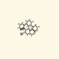 Oc1c(Br)cc2ccccc2c1-c1c(-c2ccccc2)cccc1-c1ccccc1